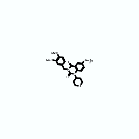 CC[C@H](C)Oc1ccc2c(c1)c(=O)n(Cc1ccc(OC)c(OC)c1)c(=O)n2C1CCOCC1